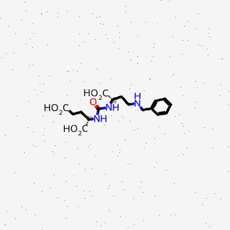 O=C(O)CC[C@H](NC(=O)N[C@@H](CCNCc1ccccc1)C(=O)O)C(=O)O